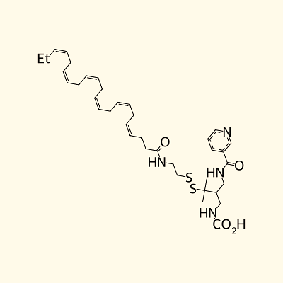 CC/C=C\C/C=C\C/C=C\C/C=C\C/C=C\C/C=C\CCC(=O)NCCSSC(C)(C)C(CNC(=O)O)CNC(=O)c1cccnc1